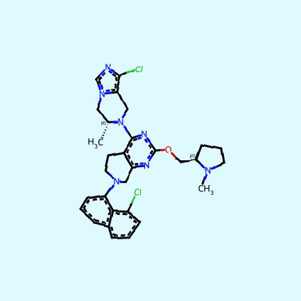 C[C@@H]1Cn2cnc(Cl)c2CN1c1nc(OC[C@H]2CCCN2C)nc2c1CCN(c1cccc3cccc(Cl)c13)C2